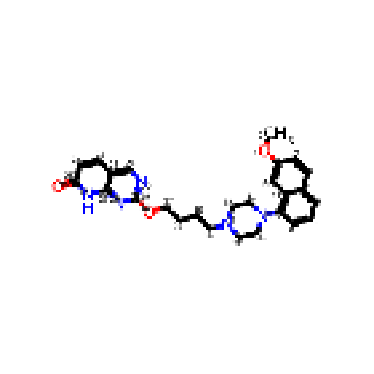 COc1ccc2cccc(N3CCN(CCCCOc4ncc5ccc(=O)[nH]c5n4)CC3)c2c1